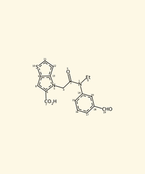 CCN(C(=O)Cn1c(C(=O)O)cc2sccc21)c1cccc(C=O)c1